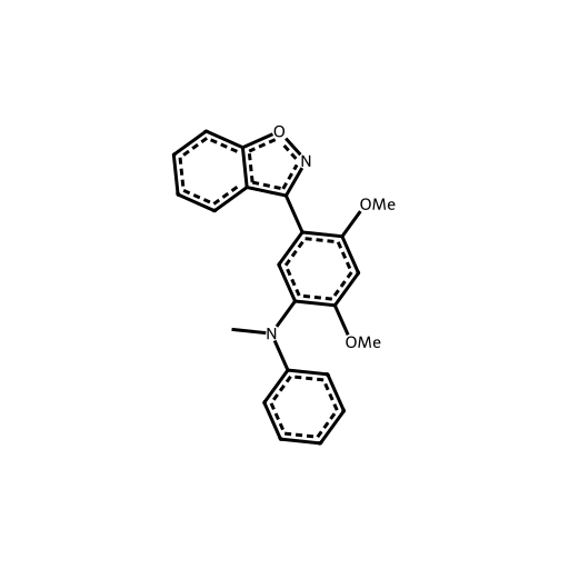 COc1cc(OC)c(N(C)c2ccccc2)cc1-c1noc2ccccc12